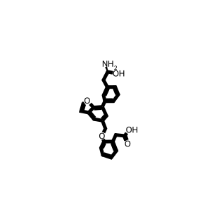 N[C@@H](O)Cc1cccc(-c2cc(COc3ccccc3CC(=O)O)cc3ccoc23)c1